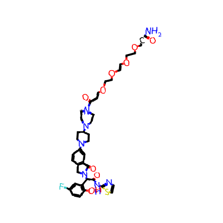 NC(=O)CCOCCOCCOCCOCCC(=O)N1CCN(C2CCN(c3ccc4c(c3)C(=O)N(C(C(=O)Nc3nccs3)c3cc(F)ccc3O)C4)CC2)CC1